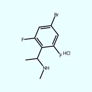 CNC(C)c1c(F)cc(Br)cc1F.Cl